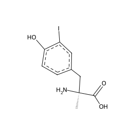 C[C@](N)(Cc1ccc(O)c(I)c1)C(=O)O